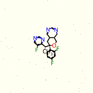 C[C@H](c1ncncc1F)[C@]1(c2ccc(F)cc2F)CC2C=NC=NCC2CO1